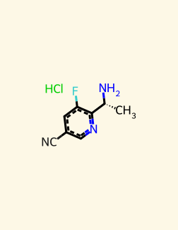 C[C@@H](N)c1ncc(C#N)cc1F.Cl